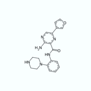 Nc1ncc(-c2ccoc2)nc1C(=O)Nc1ccccc1N1CCNCC1